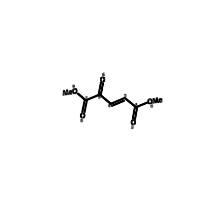 COC(=O)C=CC(=O)C(=O)OC